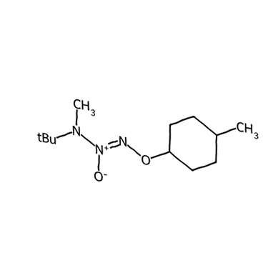 CC1CCC(O/N=[N+](\[O-])N(C)C(C)(C)C)CC1